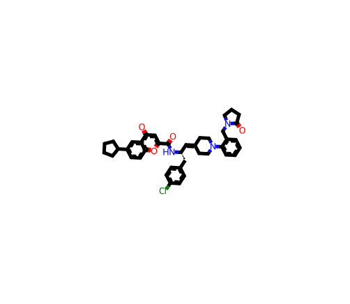 O=C(N[C@H](C=C1CCN(c2ccccc2CN2CCCC2=O)CC1)Cc1ccc(Cl)cc1)c1cc(=O)c2cc(C3CCCC3)ccc2o1